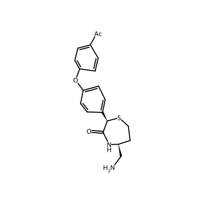 CC(=O)c1ccc(Oc2ccc([C@H]3SCC[C@@H](CN)NC3=O)cc2)cc1